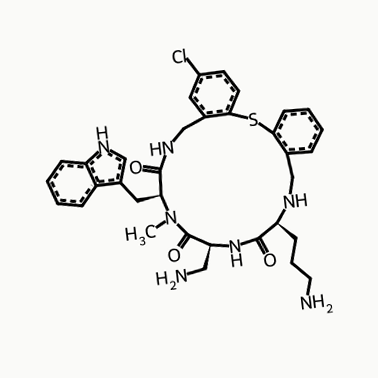 CN1C(=O)[C@H](CN)NC(=O)[C@H](CCCN)NCc2ccccc2Sc2ccc(Cl)cc2CNC(=O)[C@@H]1Cc1c[nH]c2ccccc12